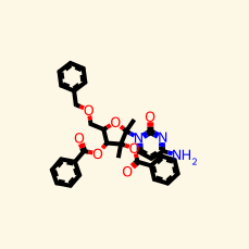 CC1(OC(=O)c2ccccc2)C(OC(=O)c2ccccc2)C(COCc2ccccc2)OC1(C)n1ccc(N)nc1=O